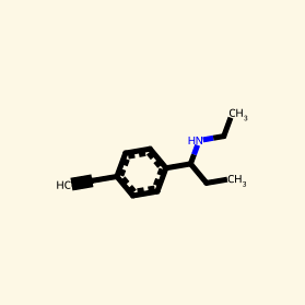 C#Cc1ccc(C(CC)NCC)cc1